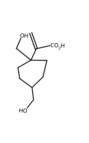 C=C(C(=O)O)C1(CO)CCC(CO)CC1